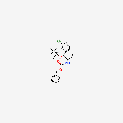 C=C[C@H](NC(=O)OCc1ccccc1)[C@@H](O[Si](C)(C)C(C)(C)C)c1cccc(Cl)c1